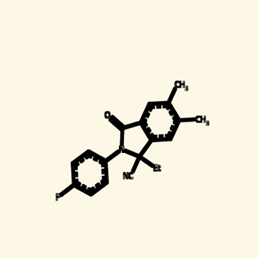 CCC1(C#N)c2cc(C)c(C)cc2C(=O)N1c1ccc(F)cc1